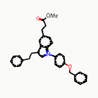 COC(=O)CCc1ccc2c(c1)c(CCc1ccccc1)cn2-c1ccc(OCc2ccccc2)cc1